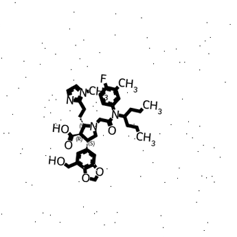 CCCC(CCC)N(C(=O)CN1C[C@H](c2cc(CO)c3c(c2)OCO3)[C@@H](C(=O)O)[C@@H]1CCc1nccn1C)c1ccc(F)c(C)c1